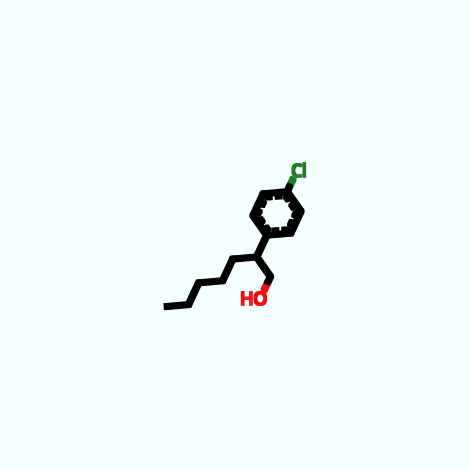 CCCCCC(CO)c1ccc(Cl)cc1